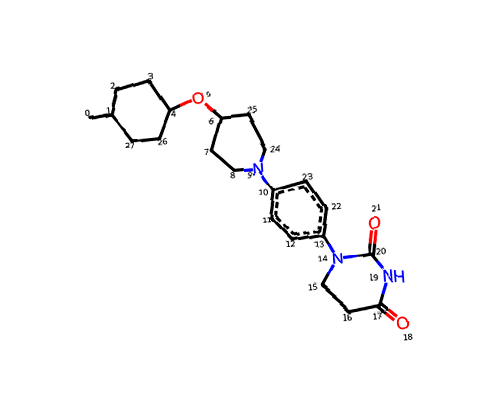 CC1CCC(OC2CCN(c3ccc(N4CCC(=O)NC4=O)cc3)CC2)CC1